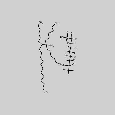 CCCCCCCCCCCCC(CCCCCC)C(P)(CCCCCC)CCCCCC.O=S(=O)(O)C(F)(F)C(F)(F)C(F)(F)C(F)(F)C(F)(F)C(F)(F)C(F)(F)C(F)(F)F